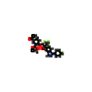 COC(=O)c1cc(C(C)=O)ccc1OCC(O)(c1ccc2c(c1)C=NC2c1ccc(F)cc1)C(F)(F)F